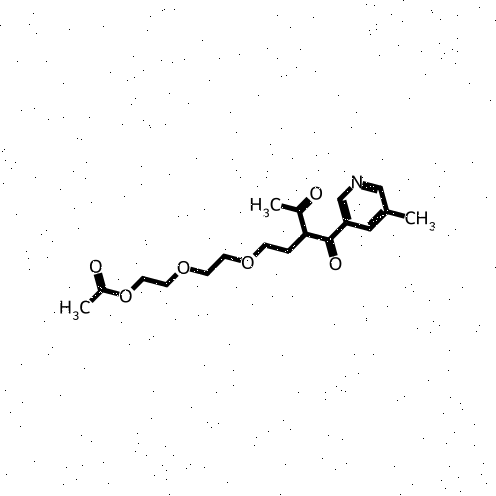 CC(=O)OCCOCCOCCC(C(C)=O)C(=O)c1cncc(C)c1